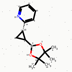 CC1(C)OB(C2C[C@@H]2c2ccccn2)OC1(C)C